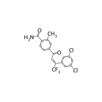 Cc1cc(C(=O)C=C(c2cc(Cl)cc(Cl)c2)C(F)(F)F)ccc1C(N)=O